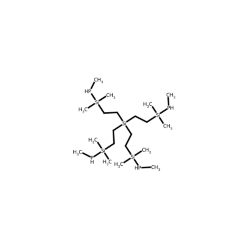 CP[Si](C)(C)CC[Si](CC[Si](C)(C)PC)(CC[Si](C)(C)PC)CC[Si](C)(C)PC